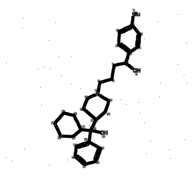 CC(C)(C)c1ccc(C(O)CCCN2CCC(C(O)(c3ccccc3)C3CCCCC3)CC2)cc1